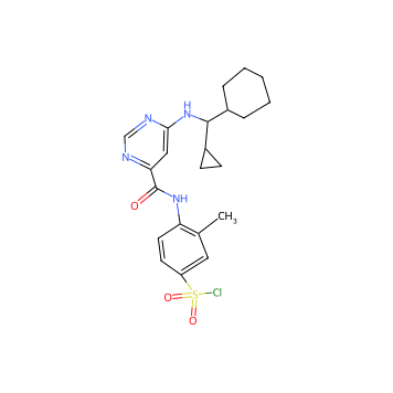 Cc1cc(S(=O)(=O)Cl)ccc1NC(=O)c1cc(NC(C2CCCCC2)C2CC2)ncn1